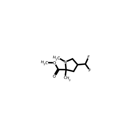 COC(=O)C1(C)CC(C(F)F)CN1C